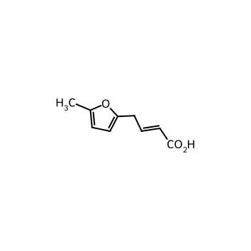 Cc1ccc(CC=CC(=O)O)o1